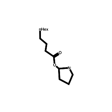 CCCCCCCCCC(=O)OC1CCC[N]1